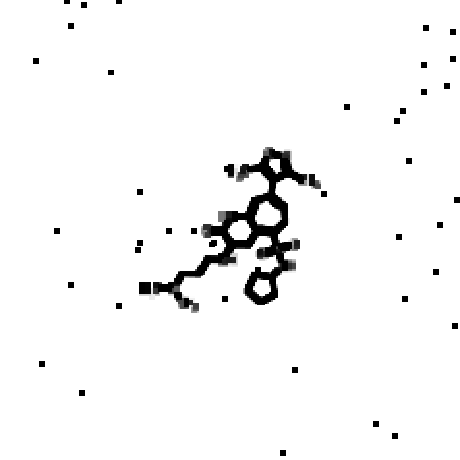 Cc1noc(C)c1C1=CCC(S(=O)(=O)NC2CCCC2)=c2cc(NCCCN(C)C)c(=O)[nH]c2=C1